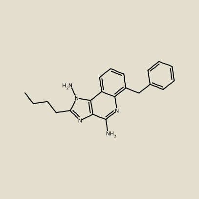 CCCCc1nc2c(N)nc3c(Cc4ccccc4)cccc3c2n1N